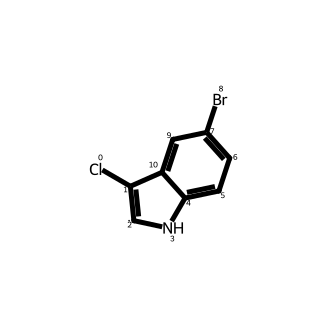 Clc1[c][nH]c2ccc(Br)cc12